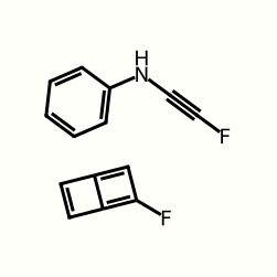 FC#CNc1ccccc1.Fc1cc2ccc1-2